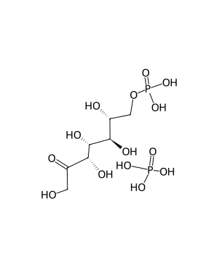 O=C(CO)[C@@H](O)[C@H](O)[C@H](O)[C@H](O)COP(=O)(O)O.O=P(O)(O)O